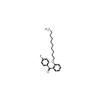 CCCCCCCCCCOc1ccccc1C(=O)c1ccc(F)cc1